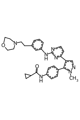 Cn1ncc(-c2ccnc(Nc3cccc(CCN4CCOCC4)c3)n2)c1-c1ccc(NC(=O)C2CC2)cc1